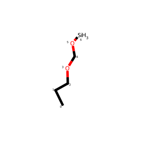 CCCOCO[SiH3]